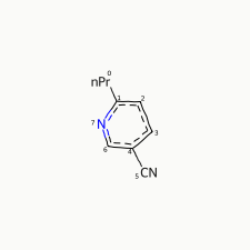 CCCc1ccc(C#N)cn1